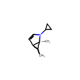 CC1C2C=CN(C3CC3)[C@@]12C